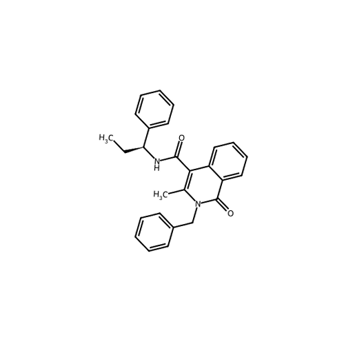 CC[C@H](NC(=O)c1c(C)n(Cc2ccccc2)c(=O)c2ccccc12)c1ccccc1